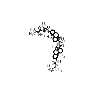 CC(C)[C@H](N)C(=O)N[C@@H](C)C(=O)Nc1ccc2c(c1)[C@@]1(C)CCC[C@](C)(C(=O)NC(=O)[C@@]3(C)CCC[C@]4(C)c5cc(NC(=O)OC(C)(C)C)ccc5CC[C@@H]34)[C@@H]1CC2